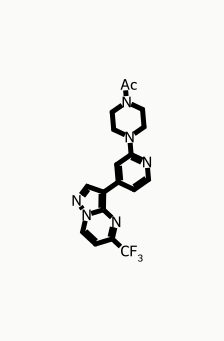 CC(=O)N1CCN(c2cc(-c3cnn4ccc(C(F)(F)F)nc34)ccn2)CC1